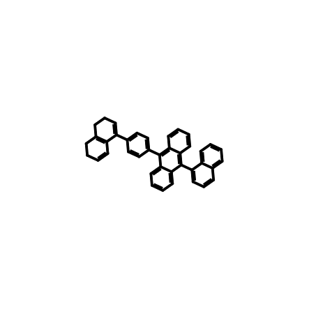 C1=CC2=C(CC1)CCC=C2c1ccc(-c2c3ccccc3c(-c3cccc4ccccc34)c3ccccc23)cc1